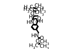 CC(C)(C)OC(=O)NCc1ccc2c(c1)[C@@H]1C[C@H](N2)[C@H](O[Si](C)(C)C(C)(C)C)CO1